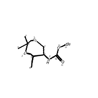 CC1OC(C)(C)OCC1NC(=O)OC(C)(C)C